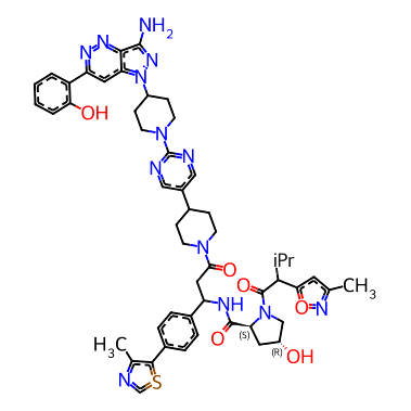 Cc1cc(C(C(=O)N2C[C@H](O)C[C@H]2C(=O)NC(CC(=O)N2CCC(c3cnc(N4CCC(n5nc(N)c6nnc(-c7ccccc7O)cc65)CC4)nc3)CC2)c2ccc(-c3scnc3C)cc2)C(C)C)on1